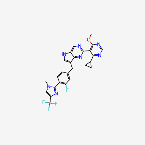 COc1ncnc(C2CC2)c1-c1ncc2[nH]cc(Cc3ccc(-c4nc(C(F)(F)F)cn4C)c(F)c3)c2n1